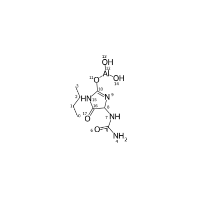 CCCC.NC(=O)NC1N=C([O][Al]([OH])[OH])NC1=O